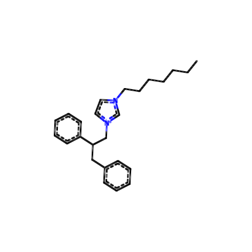 CCCCCCCn1cc[n+](CC(Cc2ccccc2)c2ccccc2)c1